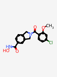 COc1cc(Cl)ccc1C(=O)N1Cc2ccc(C(=O)NO)cc2C1